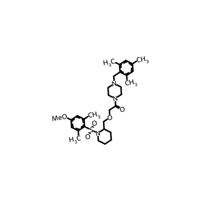 COc1cc(C)c(S(=O)(=O)N2CCCCC2COCC(=O)N2CCN(Cc3c(C)cc(C)cc3C)CC2)c(C)c1